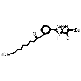 CCCCCCCCCCCCCCCCCC(=O)Cc1cccc(-c2nn3nc(C(C)(C)C)c(Cl)c3[nH]2)c1